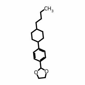 CCCCC1CCC(c2ccc(C3OCCO3)cc2)CC1